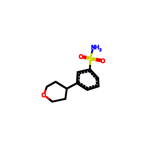 NS(=O)(=O)c1cccc(C2CCOCC2)c1